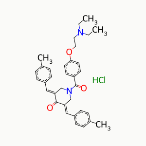 CCN(CC)CCOc1ccc(C(=O)N2CC(=Cc3ccc(C)cc3)C(=O)C(=Cc3ccc(C)cc3)C2)cc1.Cl